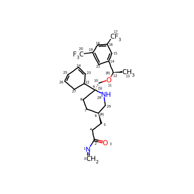 C=NC(=O)CC[C@H]1CC[C@@](CO[C@H](C)c2cc(C(F)(F)F)cc(C(F)(F)F)c2)(C2C=CC=CC2)NC1